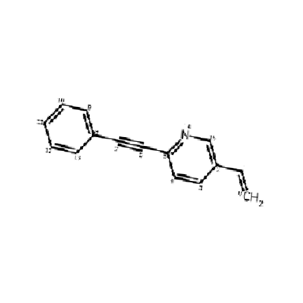 C=Cc1ccc(C#Cc2ccccc2)nc1